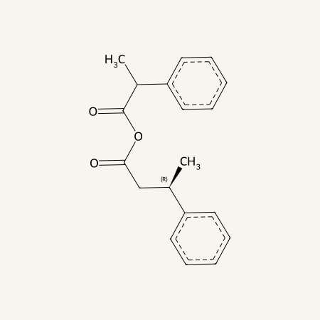 CC(C(=O)OC(=O)C[C@@H](C)c1ccccc1)c1ccccc1